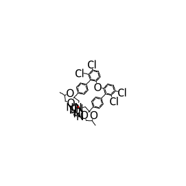 CC1COC(Cn2cncn2)(c2ccc(-c3c(Oc4ccc(Cl)c(Cl)c4-c4ccc(C5(Cn6cncn6)OCC(C)O5)cc4)ccc(Cl)c3Cl)cc2)O1